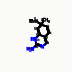 CNC1(C)C=CC2=CN=C(N)NC2=C1